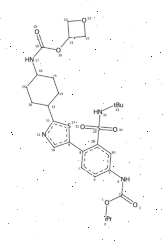 CC(C)OC(=O)Nc1ccc(-c2cnc(C3CCC(NC(=O)OC4COC4)CC3)s2)c(S(=O)(=O)NC(C)(C)C)c1